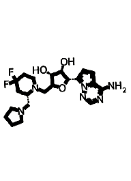 Nc1ncnn2c([C@@H]3OC(CN4CCC(F)(F)C[C@H]4CN4CCCC4)[C@@H](O)[C@H]3O)ccc12